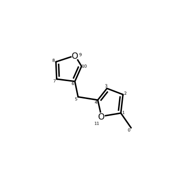 Cc1ccc(Cc2ccoc2)o1